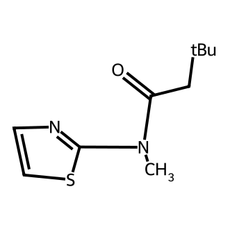 CN(C(=O)CC(C)(C)C)c1nccs1